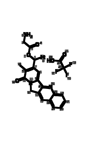 CCC(OC(=O)CN)c1cc2n(c(=O)c1C)Cc1cc3ccccc3nc1-2.O=C(O)C(F)(F)F